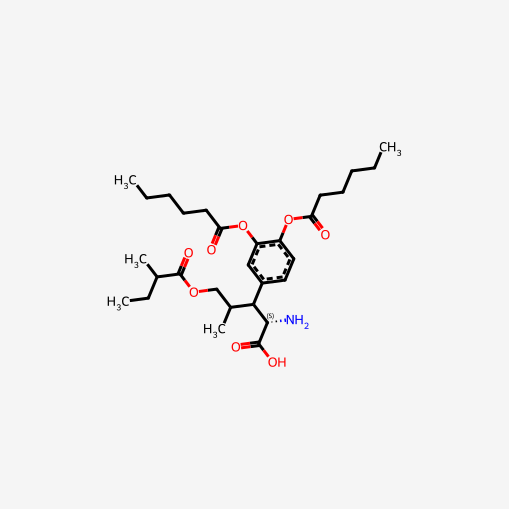 CCCCCC(=O)Oc1ccc(C(C(C)COC(=O)C(C)CC)[C@H](N)C(=O)O)cc1OC(=O)CCCCC